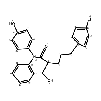 O=C(C(CO)CCCc1ccc(Cl)cc1)N(c1ccccc1)c1ccc(O)cc1